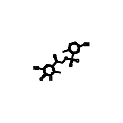 Cc1ccc(O)cc1S(=O)(=O)OCC(=O)c1cc(C#N)c(=O)[nH]c1C